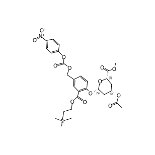 COC(=O)[C@@H]1C[C@H](OC(C)=O)C[C@H](Oc2ccc(COC(=O)Oc3ccc([N+](=O)[O-])cc3)cc2C(=O)OCCS(C)(C)C)O1